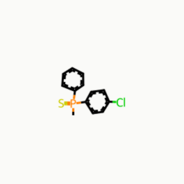 CP(=S)(c1ccccc1)c1ccc(Cl)cc1